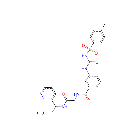 CCOC(=O)CC(NC(=O)CNC(=O)c1cccc(NC(=O)NS(=O)(=O)c2ccc(C)cc2)c1)c1cccnc1